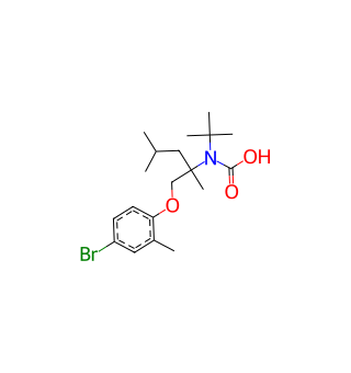 Cc1cc(Br)ccc1OCC(C)(CC(C)C)N(C(=O)O)C(C)(C)C